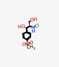 CS(=O)(=O)c1ccc([C@@H](O)[C@@H](CO)NCl)cc1